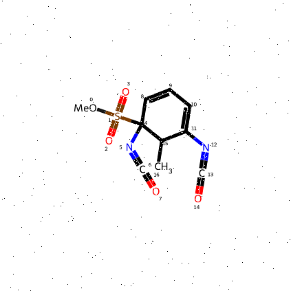 COS(=O)(=O)C1(N=C=O)C=CC=C(N=C=O)C1C